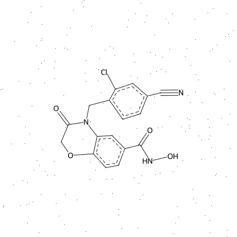 N#Cc1ccc(CN2C(=O)COc3ccc(C(=O)NO)cc32)c(Cl)c1